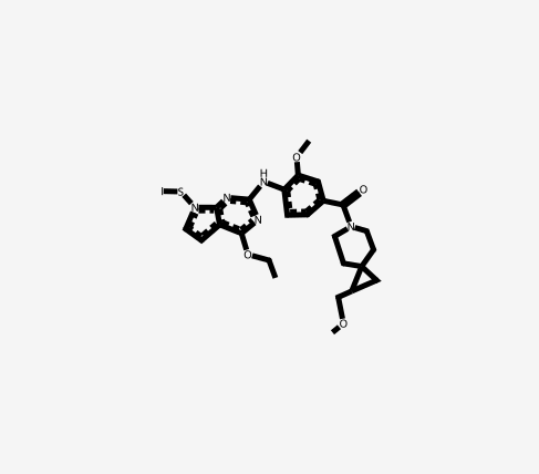 CCOc1nc(Nc2ccc(C(=O)N3CCC4(CC3)CC4COC)cc2OC)nc2c1ccn2SI